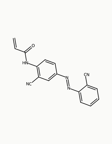 C=CC(=O)Nc1ccc(N=Nc2ccccc2C#N)cc1C#N